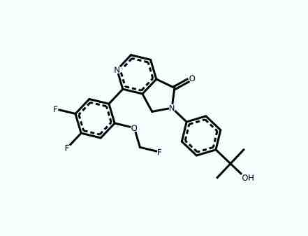 CC(C)(O)c1ccc(N2Cc3c(ccnc3-c3cc(F)c(F)cc3OCF)C2=O)cc1